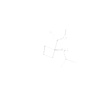 COC(=O)C1(NC(C)C)CCC1